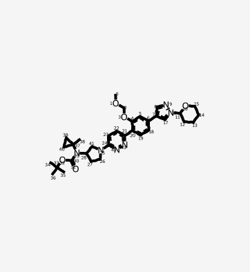 COCOc1cc(-c2cnn(C3CCCCO3)c2)ccc1-c1ccc(N2CCC(N(C(=O)OC(C)(C)C)C3(C)CC3)C2)nn1